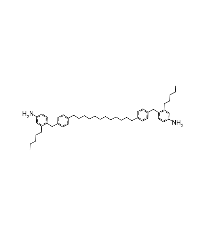 CCCCCc1cc(N)ccc1Cc1ccc(CCCCCCCCCCCCc2ccc(Cc3ccc(N)cc3CCCCC)cc2)cc1